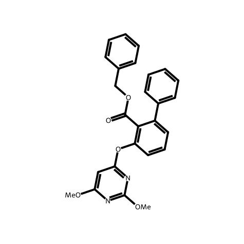 COc1cc(Oc2cccc(-c3ccccc3)c2C(=O)OCc2ccccc2)nc(OC)n1